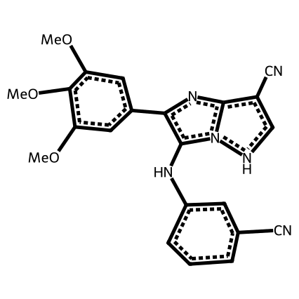 COc1cc(-c2nc3c(C#N)c[nH]n3c2Nc2cccc(C#N)c2)cc(OC)c1OC